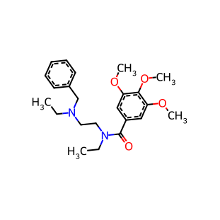 CCN(CCN(CC)C(=O)c1cc(OC)c(OC)c(OC)c1)Cc1ccccc1